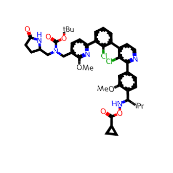 COc1cc(-c2nccc(-c3cccc(-c4ccc(CN(CC5CCC(=O)N5)C(=O)OC(C)(C)C)c(OC)n4)c3Cl)c2Cl)ccc1C(NOC(=O)C1CC1)C(C)C